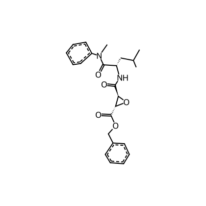 CC(C)C[C@H](NC(=O)[C@H]1O[C@@H]1C(=O)OCc1ccccc1)C(=O)N(C)c1ccccc1